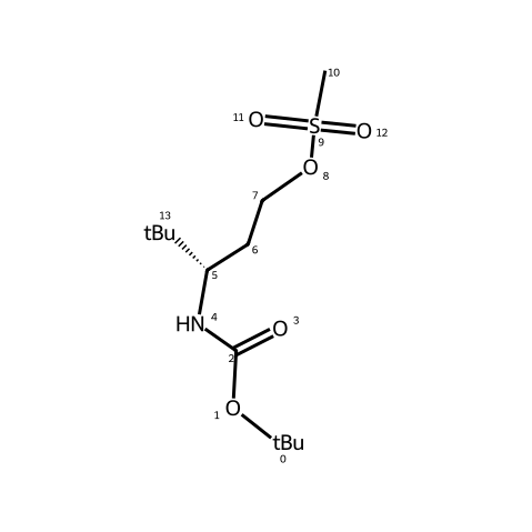 CC(C)(C)OC(=O)N[C@@H](CCOS(C)(=O)=O)C(C)(C)C